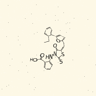 CCc1ccccc1-c1ccc(C=C2SC(=S)N(Nc3ccccc3C(=O)O)C2=O)o1